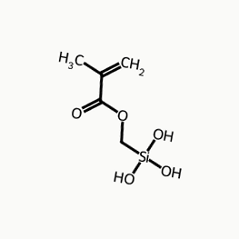 C=C(C)C(=O)OC[Si](O)(O)O